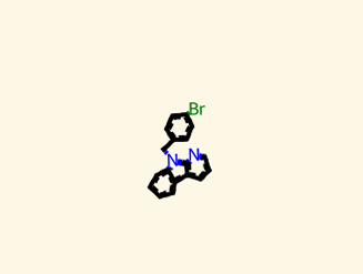 Brc1ccc(Cn2c3ccccc3c3cccnc32)cc1